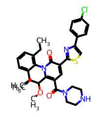 CCc1cccc(CC)c1-n1c(C(CC)OC)c(C(=O)N2CCNCC2)cc(-c2nc(-c3ccc(Cl)cc3)cs2)c1=O